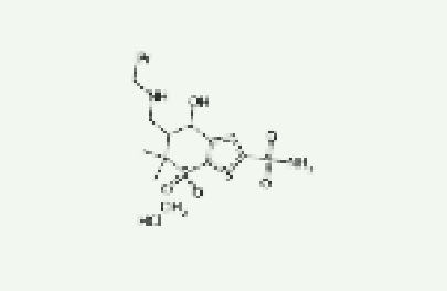 CC(C)CNCC1C(O)c2cc(S(N)(=O)=O)sc2S(=O)(=O)C1(C)C.Cl.O